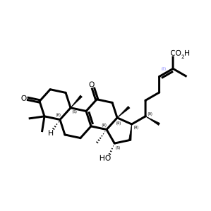 C/C(=C\CC[C@@H](C)[C@H]1C[C@H](O)[C@@]2(C)C3=C(C(=O)C[C@]12C)[C@@]1(C)CCC(=O)C(C)(C)[C@@H]1CC3)C(=O)O